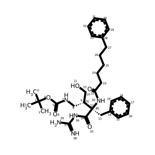 CC(C)(C)OC(=O)NC[C@H](CO)[C@@](Cc1ccccc1)(NC(=O)CCCCCc1ccccc1)C(=O)NC(=N)N